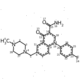 CN1CCN(Cc2ccc3c(c2)c(=O)c(C(N)=O)cn3-c2ccc(F)cc2)CC1